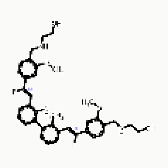 COc1cc(/C(F)=C/c2cccc(-c3cccc(/C=C(\F)c4ccc(CNCCO)c(OC)c4)c3C)c2C)ccc1CNCCO